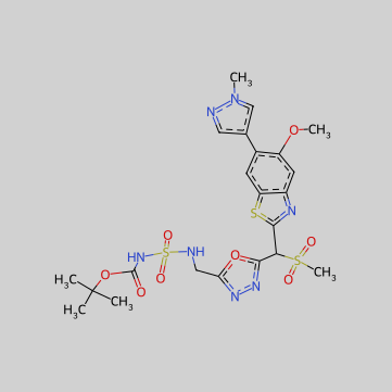 COc1cc2nc(C(c3nnc(CNS(=O)(=O)NC(=O)OC(C)(C)C)o3)S(C)(=O)=O)sc2cc1-c1cnn(C)c1